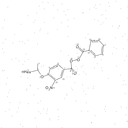 CCCCCCC(C)Oc1ccc(C(=O)OOC(=O)c2ccccc2)cc1[N+](=O)[O-]